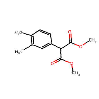 Bc1ccc(C(C(=O)OC)C(=O)OC)cc1C